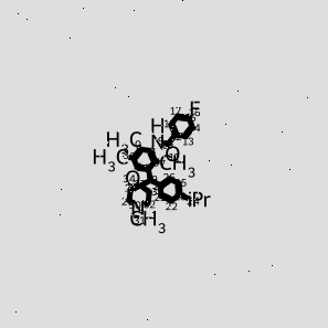 Cc1c(C)c2c(c(C)c1NC(=O)c1ccc(F)cc1)C(c1ccc(C(C)C)cc1)C1(CCN(C)CC1)O2